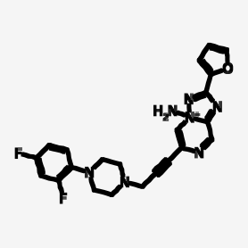 N[N+]12C=C(C#CCN3CCN(c4ccc(F)cc4F)CC3)N=CC1=NC(c1ccco1)=N2